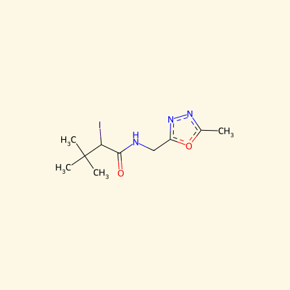 Cc1nnc(CNC(=O)C(I)C(C)(C)C)o1